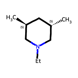 CCN1C[C@@H](C)C[C@H](C)C1